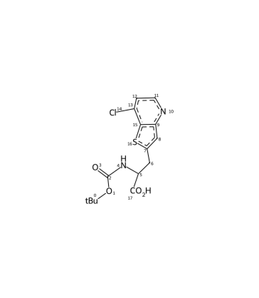 CC(C)(C)OC(=O)NC(Cc1cc2nccc(Cl)c2s1)C(=O)O